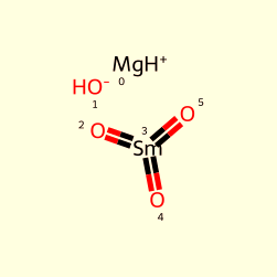 [MgH+].[OH-].[O]=[Sm](=[O])=[O]